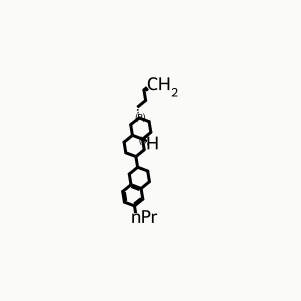 C=CCC[C@@H]1CC[C@@H]2CC(C3CCc4cc(CCC)ccc4C3)CCC2C1